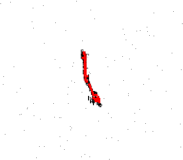 O=CNCCCN(CCCN1CCN(CCOCCOCCOCCOCc2cn(CCOCCOCCOCCOCCC(=O)Oc3c(F)cc(F)cc3F)nn2)CC1)C(CO)(CO)CO